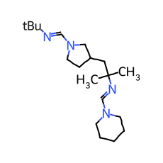 CC(C)(C)/N=C/N1CCC(CC(C)(C)/N=C/N2CCCCC2)C1